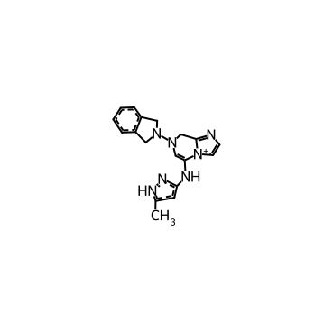 Cc1cc(NC2=CN(N3Cc4ccccc4C3)CC3=NC=C[N+]23)n[nH]1